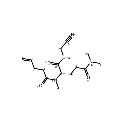 C=CCCC(=O)N(C)[C@@H](CCC(=O)N(C)C)C(=O)OCC#N